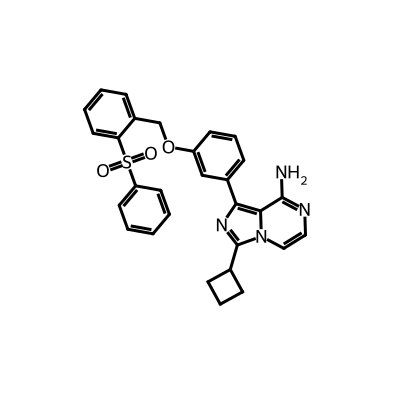 Nc1nccn2c(C3CCC3)nc(-c3cccc(OCc4ccccc4S(=O)(=O)c4ccccc4)c3)c12